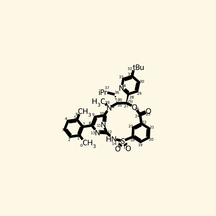 Cc1cccc(C)c1-c1cc2nc(n1)NS(=O)(=O)c1cccc(c1)C(=O)O[C@H](c1ccc(C(C)(C)C)cn1)[C@@H](CC(C)C)N2C